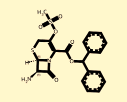 CS(=O)(=O)OC1=C(C(=O)OC(c2ccccc2)c2ccccc2)N2C(=O)[C@@H](N)[C@H]2SC1